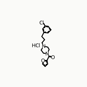 Cl.O=C(c1ccco1)N1CCN(CCCc2cccc(Cl)c2)CC1